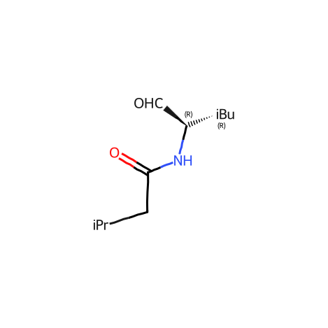 CC[C@@H](C)[C@H](C=O)NC(=O)CC(C)C